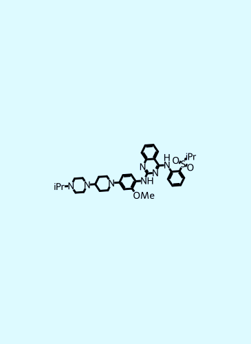 COc1cc(N2CCC(N3CCN(C(C)C)CC3)CC2)ccc1Nc1nc(Nc2ccccc2S(=O)(=O)C(C)C)c2ccccc2n1